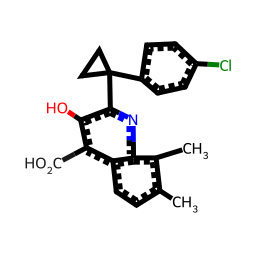 Cc1ccc2c(C(=O)O)c(O)c(C3(c4ccc(Cl)cc4)CC3)nc2c1C